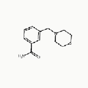 NC(=O)c1cccc(CN2CCSCC2)c1